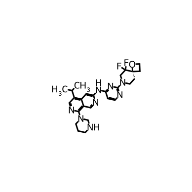 CC(C)c1cnc(N2CCCNC2)c2cnc(Nc3ccnc(N4CC[C@]5(CCO5)C(F)(F)C4)n3)cc12